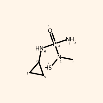 CN(S)P(N)(=O)NC1CC1